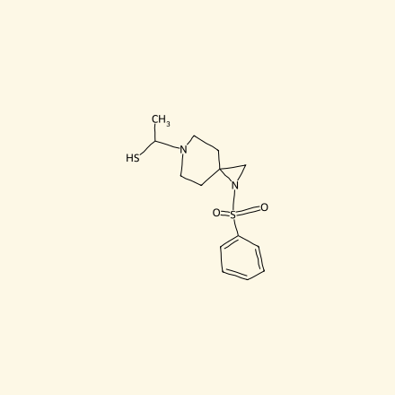 CC(S)N1CCC2(CC1)CN2S(=O)(=O)c1ccccc1